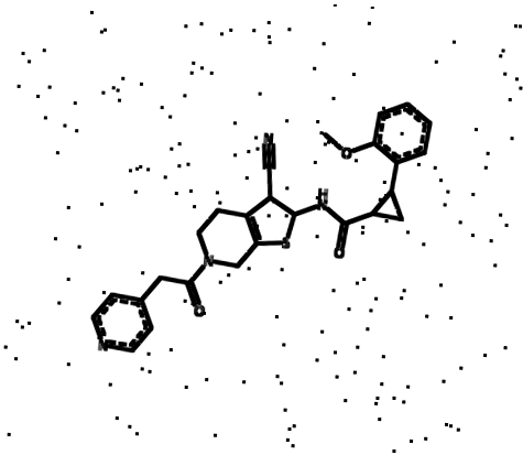 COc1ccccc1C1CC1C(=O)NC1SC2=C(CCN(C(=O)Cc3ccncc3)C2)C1C#N